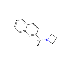 C[C@@H](c1ccc2ccccc2c1)N1CCC1